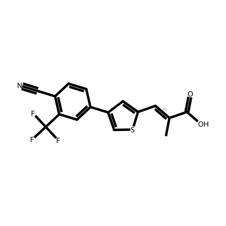 C/C(=C\c1cc(-c2ccc(C#N)c(C(F)(F)F)c2)cs1)C(=O)O